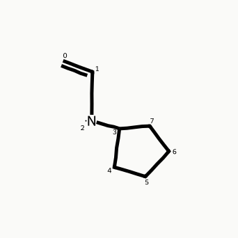 C=C[N]C1CCCC1